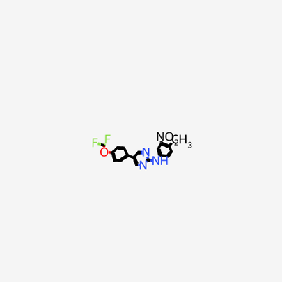 Cc1ccc(Nc2ncc(-c3ccc(OC(F)F)cc3)cn2)cc1[N+](=O)[O-]